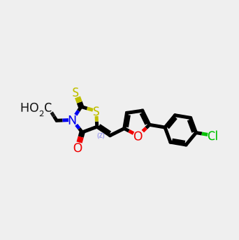 O=C(O)CN1C(=O)/C(=C/c2ccc(-c3ccc(Cl)cc3)o2)SC1=S